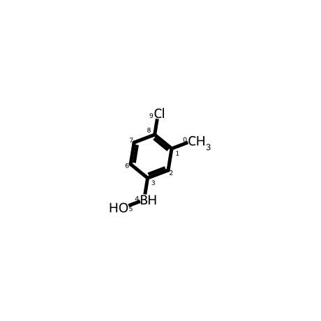 Cc1cc(BO)ccc1Cl